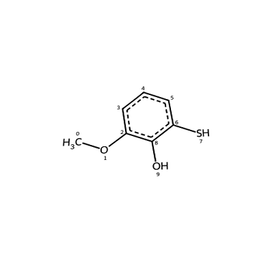 COc1cccc(S)c1O